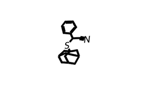 N#CC(SC12CC3CC(CC(C3)C1)C2)c1ccccc1